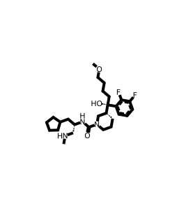 CNC[C@H](CC1CCCC1)NC(=O)N1CCC[C@@H]([C@@](O)(CCCCOC)c2cccc(F)c2F)C1